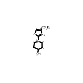 CCOC(=O)c1csc(N2CCC(O)CC2)n1